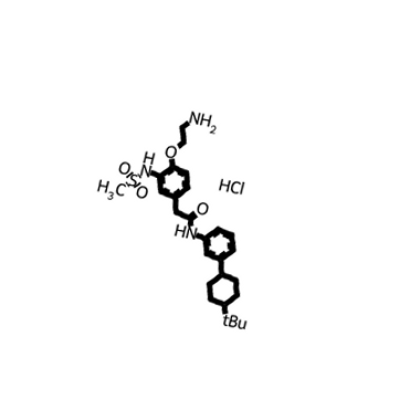 CC(C)(C)C1CCC(c2cccc(NC(=O)Cc3ccc(OCCN)c(NS(C)(=O)=O)c3)c2)CC1.Cl